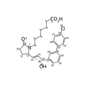 O=C(O)CCCCCCN1C(=O)CCC1/C=C/[C@@H](O)c1cccc(-c2ccc(Cl)cc2)c1